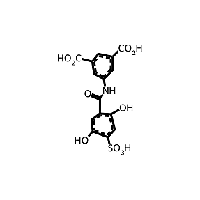 O=C(O)c1cc(NC(=O)c2cc(O)c(S(=O)(=O)O)cc2O)cc(C(=O)O)c1